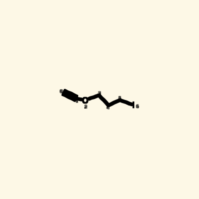 C#COCCCI